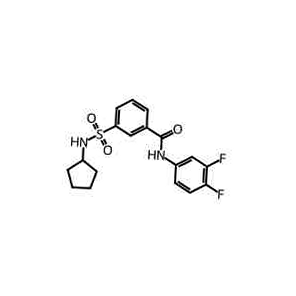 O=C(Nc1ccc(F)c(F)c1)c1cccc(S(=O)(=O)NC2CCCC2)c1